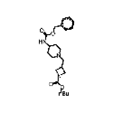 CCCCOC(=O)N1CC(CN2CCC(NC(=O)OCc3ccccc3)CC2)C1